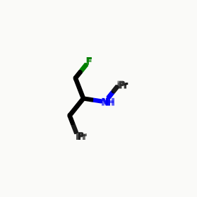 CC(C)CC(CF)NC(C)C